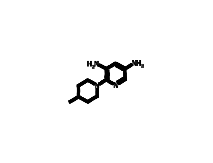 CC1CCN(c2ncc(N)cc2N)CC1